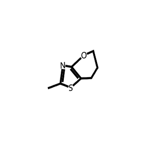 Cc1nc2c(s1)CCCO2